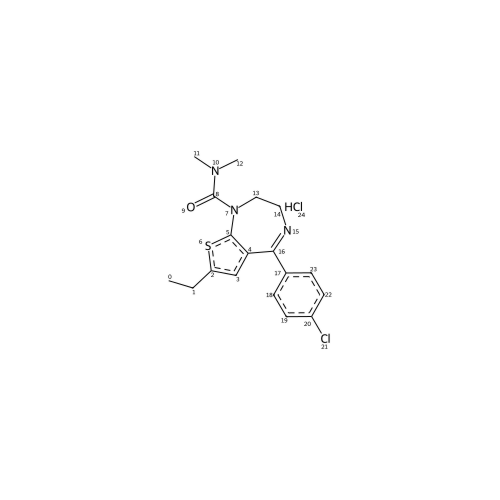 CCc1cc2c(s1)N(C(=O)N(C)C)CCN=C2c1ccc(Cl)cc1.Cl